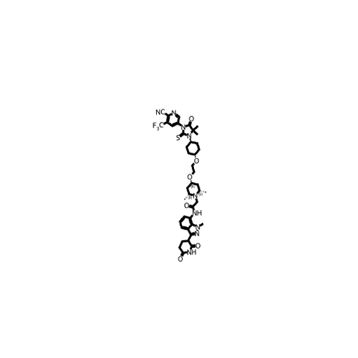 C[C@@H]1C[C@H](OCCO[C@H]2CC[C@H](N3C(=S)N(c4cnc(C#N)c(C(F)(F)F)c4)C(=O)C3(C)C)CC2)C[C@H](C)N1CC(=O)Nc1cccc2c(C3CCC(=O)NC3=O)nn(C)c12